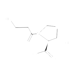 C[C@H]1OCN(C(=O)CCS)[C@@H]1C(=O)O